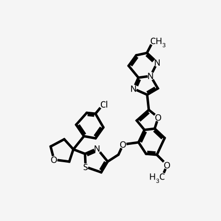 COc1cc(OCc2csc(C3(c4ccc(Cl)cc4)CCOC3)n2)c2cc(-c3cn4nc(C)ccc4n3)oc2c1